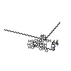 CCCCCCCCCCCCCCCCCCCCCCCCCC(=O)N[C@@H](COC1OC(CNC(=O)CCC2=N/C(=C\c3c(C)cc(C)n3B(F)F)C=C2)C(O)C(O)C1OC1OC(CO)C(O)C(O)C1O)[C@H](O)[C@H](O)CCCCCCCCCCCCCC